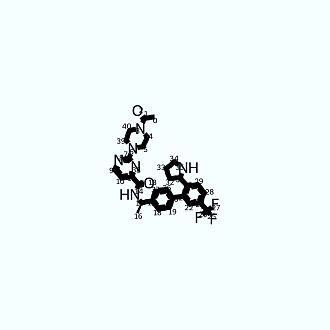 CC(=O)N1CCN(c2nccc(C(=O)N[C@H](C)c3ccc(-c4cc(C(F)(F)F)ccc4C4CCCN4)cc3)n2)CC1